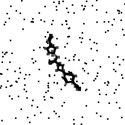 N#Cc1ccc(C2CN(C(=O)C[C@@H]3CCN(C#N)C3)C2)nc1